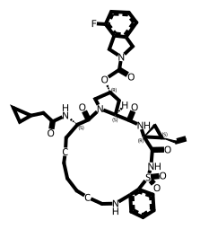 C=C[C@@H]1C[C@@]12NC(=O)[C@@H]1C[C@@H](OC(=O)N3Cc4cccc(F)c4C3)CN1C(=O)[C@@H](NC(=O)CC1CC1)CCCCCCCNc1ccccc1S(=O)(=O)NC2=O